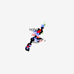 COC(=O)N[C@H](C(=O)N[C@@H](Cc1ccc(C#Cc2ccc(N3CC4CCC(C3)N4C3COC3)nc2)cc1)[C@@H](O)CN(Cc1c(F)cc(-c2cnn(C(F)F)c2)cc1F)NC(=O)[C@@H](NC(=O)O)C(C)(C)C(F)(F)F)C(C)(C)C(F)(F)F